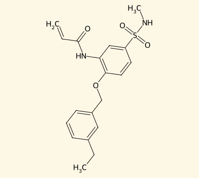 C=CC(=O)Nc1cc(S(=O)(=O)NC)ccc1OCc1cccc(CC)c1